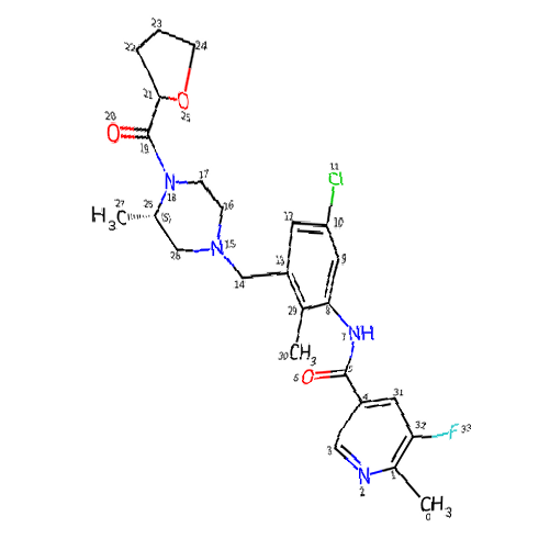 Cc1ncc(C(=O)Nc2cc(Cl)cc(CN3CCN(C(=O)C4CCCO4)[C@@H](C)C3)c2C)cc1F